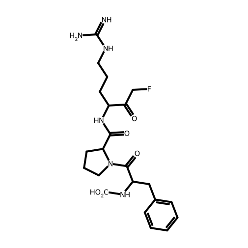 N=C(N)NCCCC(NC(=O)C1CCCN1C(=O)C(Cc1ccccc1)NC(=O)O)C(=O)CF